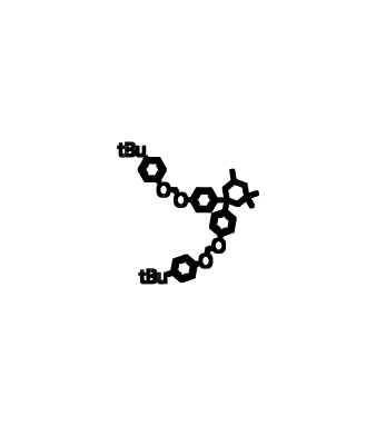 CC1CC(C)(C)CC(c2ccc(OCOc3ccc(C(C)(C)C)cc3)cc2)(c2ccc(OCOc3ccc(C(C)(C)C)cc3)cc2)C1